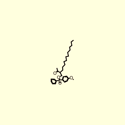 CCCCCCCCCCCCCC(COP(=O)(c1ccccc1)c1ccc(OC)cc1)C(C)=O